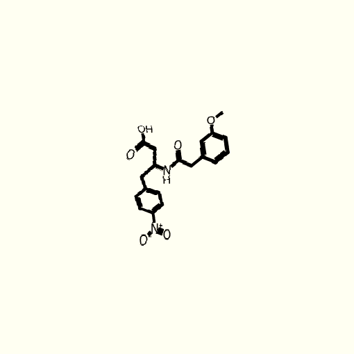 COc1cccc(CC(=O)NC(CC(=O)O)Cc2ccc([N+](=O)[O-])cc2)c1